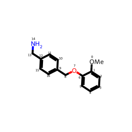 COc1ccccc1OCc1ccc(CN)cc1